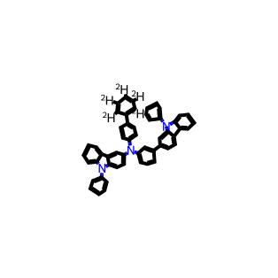 [2H]c1c([2H])c([2H])c(-c2ccc(N(c3cccc(-c4ccc5c6ccccc6n(-c6ccccc6)c5c4)c3)c3ccc4c(c3)c3ccccc3n4-c3ccccc3)cc2)c([2H])c1[2H]